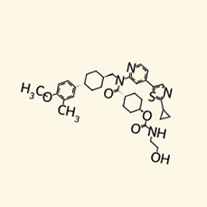 COc1ccc([C@H]2CC[C@H](CN(c3cc(-c4cnc(C5CC5)s4)ccn3)C(=O)[C@H]3CC[C@H](OC(=O)NCCO)CC3)CC2)cc1C